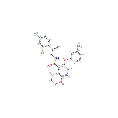 O=C(NC[C@H](F)c1ccc(Cl)cc1Cl)c1c(Oc2cccc(C(F)(F)F)c2)nnc2c1OCCO2